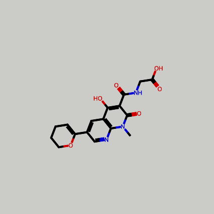 Cn1c(=O)c(C(=O)NCC(=O)O)c(O)c2cc(C3=CCCCO3)cnc21